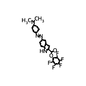 CN(C)c1ccc(/N=N/c2ccc3[nH]c(C(=O)Oc4c(F)c(F)c(F)c(F)c4F)cc3c2)cc1